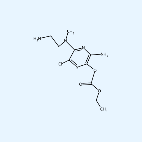 CCOC(=O)Oc1nc(Cl)c(N(C)CCN)nc1N